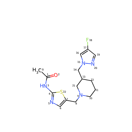 CC(=O)Nc1ncc(CN2CCCC(Cn3cc(F)cn3)C2)s1